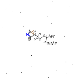 CCC[C@H](CCC(C)(C)c1scnc1C)CNC